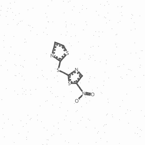 O=[N+]([O-])c1cnc(Sc2nccs2)s1